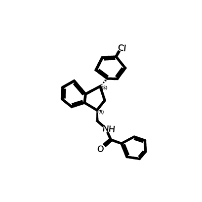 O=C(NC[C@@H]1C[C@@H](c2ccc(Cl)cc2)c2ccccc21)c1ccccc1